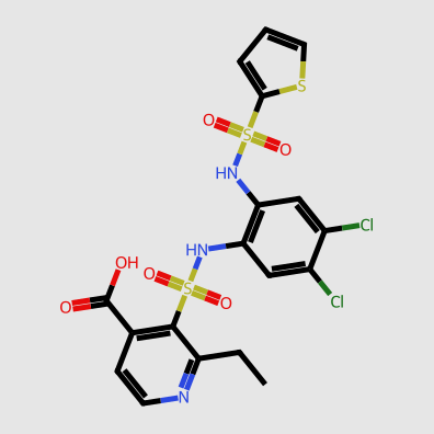 CCc1nccc(C(=O)O)c1S(=O)(=O)Nc1cc(Cl)c(Cl)cc1NS(=O)(=O)c1cccs1